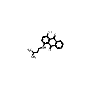 CC(C)CCNc1ccc(O)c2c1C(=O)c1ccccc1C2=O